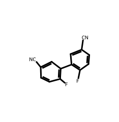 N#Cc1ccc(F)c(-c2cc(C#N)ccc2F)c1